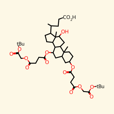 CC(CCC(=O)O)C1CCC2C3C(OC(=O)CCC(=O)OCC(=O)OC(C)(C)C)CC4CC(OC(=O)CCC(=O)OCC(=O)OC(C)(C)C)CCC4(C)C3CC(O)C12C